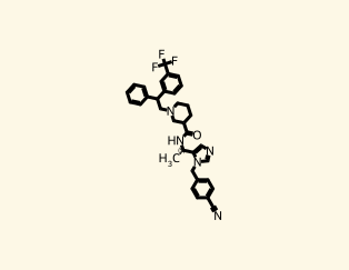 C[C@H](NC(=O)C1CCCN(CC(c2ccccc2)c2cccc(C(F)(F)F)c2)C1)c1cncn1Cc1ccc(C#N)cc1